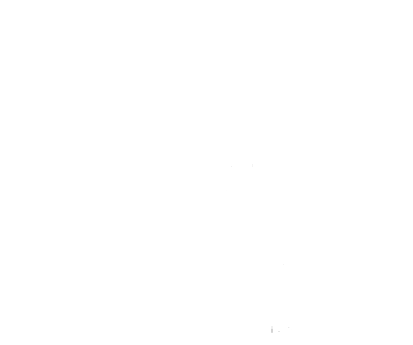 CCCCCCCCOc1ccc(-c2ccc(C(=O)Oc3ccc(C(=O)OC[C@@H](C)CC)c(Cl)c3)cc2)cc1Cl